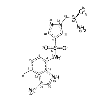 Cc1ccc(NS(=O)(=O)c2cnn(C[C@H](N)C(F)(F)F)c2)c2[nH]cc(C#N)c12